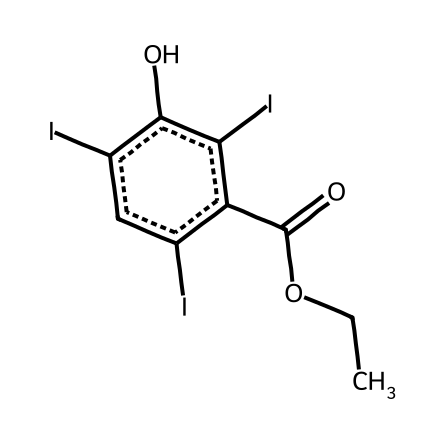 CCOC(=O)c1c(I)cc(I)c(O)c1I